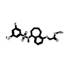 CN(C1CCCCc2c(OCC(=O)OC(C)(C)C)cccc21)S(=O)(=O)c1cc(F)cc(C(F)(F)F)c1